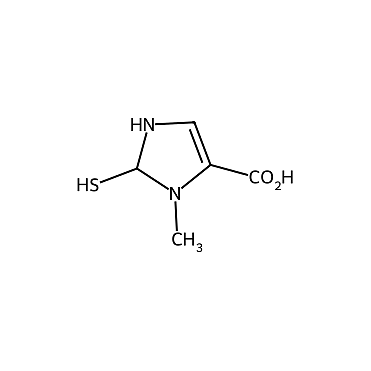 CN1C(C(=O)O)=CNC1S